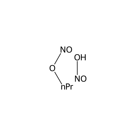 CCCON=O.O=NO